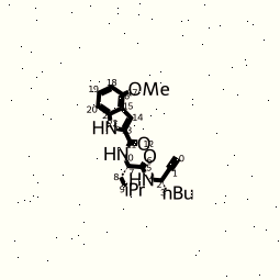 C#C[C@H](CCCC)NC(=O)[C@H](CC(C)C)NC(=O)c1cc2c(OC)cccc2[nH]1